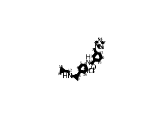 Cl.O=C(Nc1ccc(C2CC2NCC2CC2)cc1)c1cccc(Cn2cncn2)c1